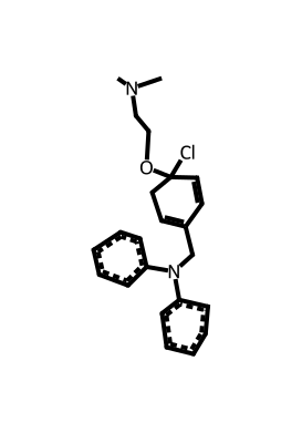 CN(C)CCOC1(Cl)C=CC(CN(c2ccccc2)c2ccccc2)=CC1